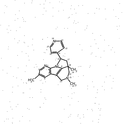 Cc1cnc2c(c1)c1c3n2C(c2ccncc2)CC3(C)CN(C)C1